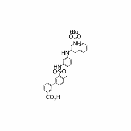 Cc1ccc(-c2cccc(C(=O)O)c2)cc1S(=O)(=O)Nc1cccc(NC(CNC(=O)OC(C)(C)C)Cc2ccccc2)c1